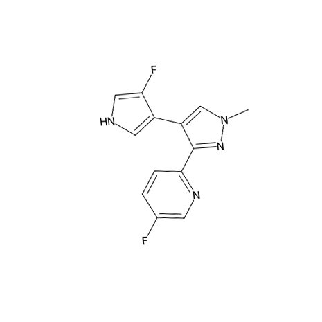 Cn1cc(-c2c[nH]cc2F)c(-c2ccc(F)cn2)n1